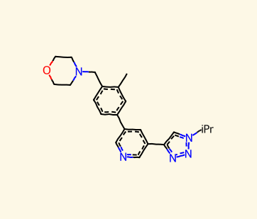 Cc1cc(-c2cncc(-c3cn(C(C)C)nn3)c2)ccc1CN1CCOCC1